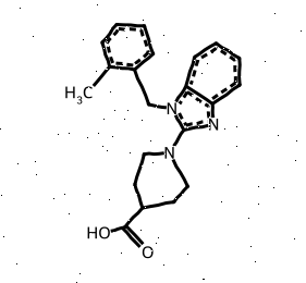 Cc1ccccc1Cn1c(N2CCC(C(=O)O)CC2)nc2ccccc21